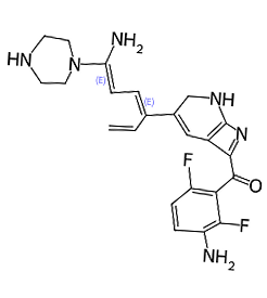 C=C/C(=C\C=C(/N)N1CCNCC1)C1=CC2=C(N=C2C(=O)c2c(F)ccc(N)c2F)NC1